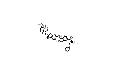 CN(CCN1CCCC1)C(=O)c1cc(F)c2c(c1)CCC2Nc1nc2nc(O[C@@H]3CO[C@H]4[C@@H]3OC[C@H]4O)[nH]c2cc1Cl